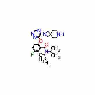 CC(C)N(C(=O)c1cc(F)ccc1Oc1nncnc1N1CC2(CCNCC2)C1)C(C)C